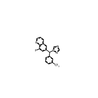 Fc1cc(C(c2cccc(C(F)(F)F)c2)n2cncn2)cc2cccnc12